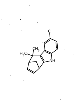 CC1(C)c2c([nH]c3ccc(Cl)cc23)C2C=CC1C2